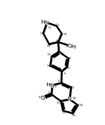 O=c1[nH]c(-c2ccc(C3(O)CCNCC3)cc2)cn2cccc12